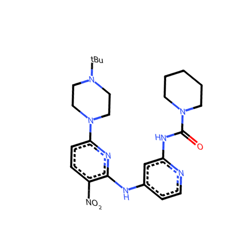 CC(C)(C)N1CCN(c2ccc([N+](=O)[O-])c(Nc3ccnc(NC(=O)N4CCCCC4)c3)n2)CC1